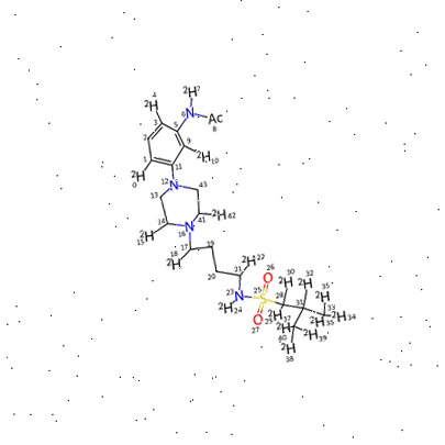 [2H]c1cc([2H])c(N([2H])C(C)=O)c([2H])c1N1CC([2H])N(C([2H])CCC([2H])N([2H])S(=O)(=O)C([2H])([2H])C([2H])(C([2H])([2H])[2H])C([2H])([2H])[2H])C([2H])C1